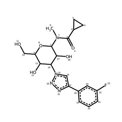 CN(C(=O)C1CC1)C1OC(CO)C(O)C(n2cc(-c3cccc(F)c3)nn2)C1O